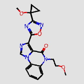 COCCn1c(=O)c2c(-c3nc(C4(OC)CC4)no3)ncn2c2ccccc21